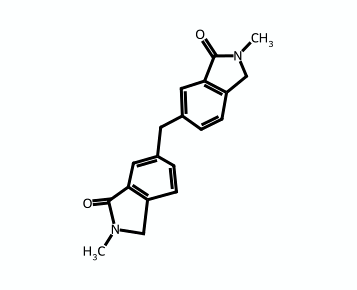 CN1Cc2ccc(Cc3ccc4c(c3)C(=O)N(C)C4)cc2C1=O